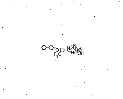 CC(N)(COP(=O)(O)O)c1nc(-c2ccc(OCc3ccc(-c4ccccc4)cc3)c(C(F)(F)F)c2)cs1